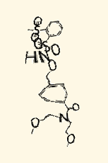 COCCN(CCOC)C(=O)c1ccc(CONS(=O)(=O)c2ccccc2S(C)(=O)=O)cc1